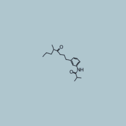 CCCC(C)C(=O)CCCc1cccc(NC(=O)C(C)C)c1